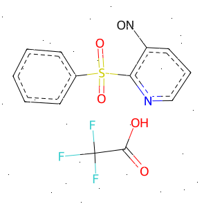 O=C(O)C(F)(F)F.O=Nc1cccnc1S(=O)(=O)c1ccccc1